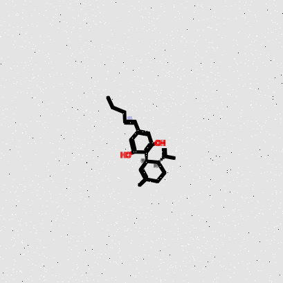 C=C(C)[C@@H]1CCC(C)=C[C@H]1c1c(O)cc(/C=C/CCC)cc1O